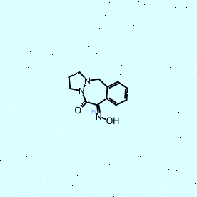 O=C1/C(=N/O)c2ccccc2CN2CCCN12